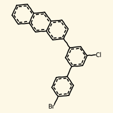 Clc1cc(-c2ccc(Br)cc2)cc(-c2ccc3cc4ccccc4cc3c2)c1